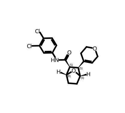 O=C(Nc1ccc(Cl)c(Cl)c1)[C@H]1[C@@H](C2=CCOCC2)[C@@H]2CC[C@H]1O2